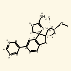 CO[C@H]1CC[C@@]2(Cc3ccc(-c4cncnc4)cc3[C@@]23COC(N)=N3)C[C@@H]1C